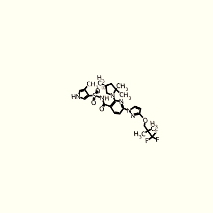 Cc1c[nH]cc1S(=O)(=O)NC(=O)c1ccc(-n2ccc(OCC(C)(C)C(F)(F)F)n2)nc1N1C[C@@H](C)CC1(C)C